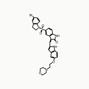 O=C1Nc2ccc(S(=O)(=O)N3CCc4cc(Br)ccc43)cc2C1=Cc1cc2cc(OCCN3CCOCC3)ccc2[nH]1